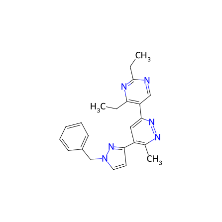 CCc1ncc(-c2cc(-c3ccn(Cc4ccccc4)n3)c(C)nn2)c(CC)n1